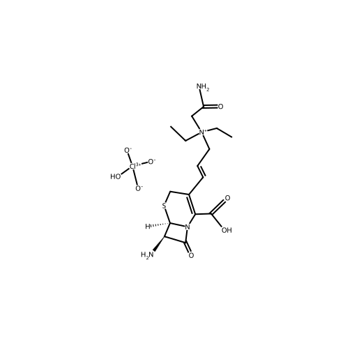 CC[N+](CC)(C/C=C/C1=C(C(=O)O)N2C(=O)[C@@H](N)[C@H]2SC1)CC(N)=O.[O-][Cl+3]([O-])([O-])O